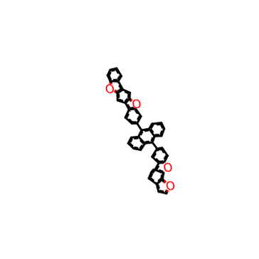 c1ccc2c(c1)oc1cc3c(cc12)oc1cc(-c2c4ccccc4c(-c4ccc5oc6c(ccc7ccoc76)c5c4)c4ccccc24)ccc13